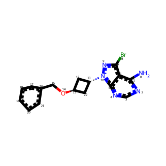 Nc1ncnc2c1c(Br)nn2[C@H]1C[C@H](OCc2ccccc2)C1